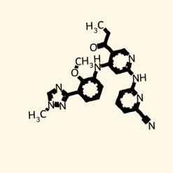 CCC(=O)c1cnc(Nc2cccc(C#N)n2)cc1Nc1cccc(-c2ncn(C)n2)c1OC